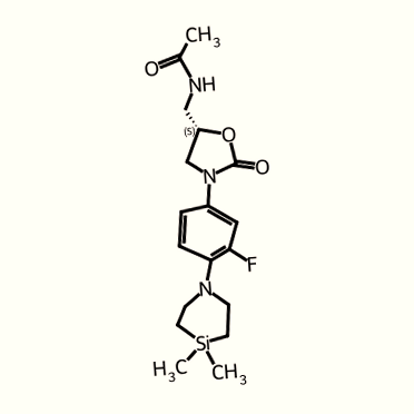 CC(=O)NC[C@H]1CN(c2ccc(N3CC[Si](C)(C)CC3)c(F)c2)C(=O)O1